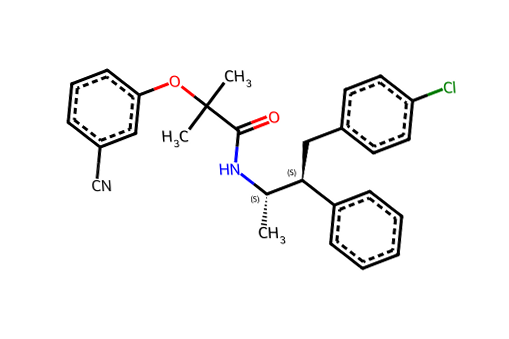 C[C@H](NC(=O)C(C)(C)Oc1cccc(C#N)c1)[C@@H](Cc1ccc(Cl)cc1)c1ccccc1